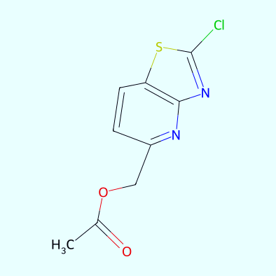 CC(=O)OCc1ccc2sc(Cl)nc2n1